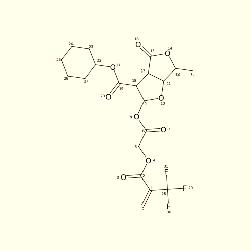 C=C(C(=O)OCC(=O)OC1OC2C(C)OC(=O)C2C1C(=O)OC1CCCCC1)C(F)(F)F